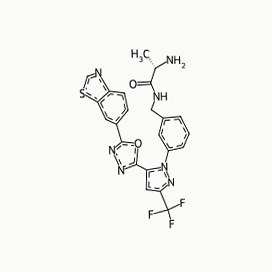 C[C@H](N)C(=O)NCc1cccc(-n2nc(C(F)(F)F)cc2-c2nnc(-c3ccc4ncsc4c3)o2)c1